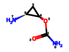 NC(=O)O[C@@H]1C[C@H]1N